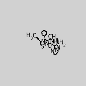 CC#Cc1csc2nc(C(C)NC(=O)c3c(N)nn4cccnc34)c(-c3ccccc3)n12